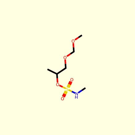 CNS(=O)(=O)OC(C)COCOC